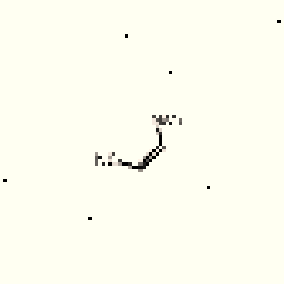 CN/C=C\C#N